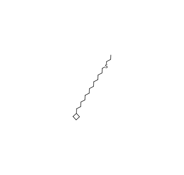 CCCSCCCCCCCCCCCCCC1CCC1